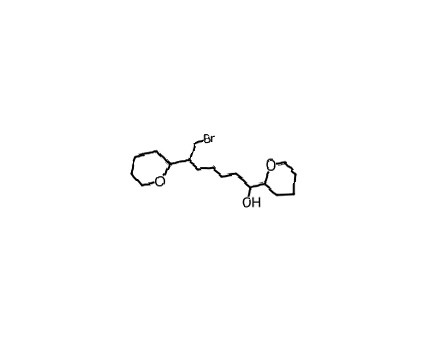 OC(CCCCC(CBr)C1CCCCO1)C1CCCCO1